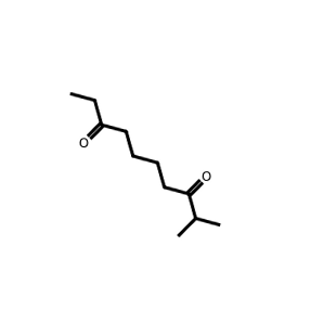 CCC(=O)CCCCC(=O)C(C)C